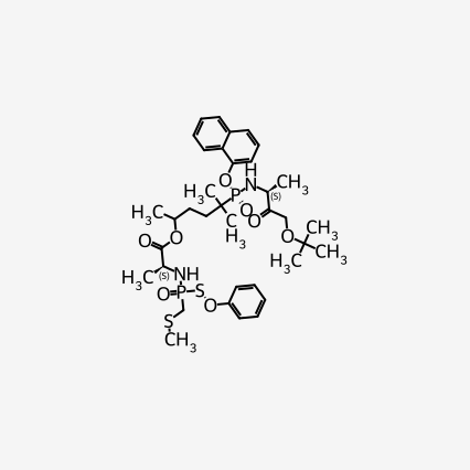 CSCP(=O)(N[C@@H](C)C(=O)OC(C)CCC(C)(C)P(=O)(N[C@@H](C)C(=O)COC(C)(C)C)Oc1cccc2ccccc12)SOc1ccccc1